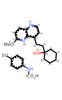 CCc1ccc(NC(=O)O)cc1.COc1ccc2nccc(CCC3(O)CCCCC3)c2n1